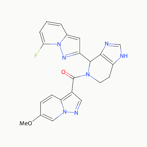 COc1ccc2c(C(=O)N3CCc4[nH]cnc4C3c3cc4cccc(F)n4n3)cnn2c1